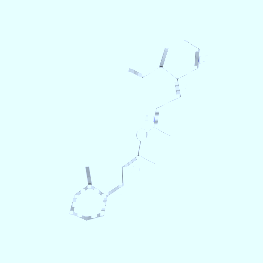 C=CC(=C)C(/C=C\C)=C\C=C(/C)O/C(C)=C/C=c1/ccccc1=C